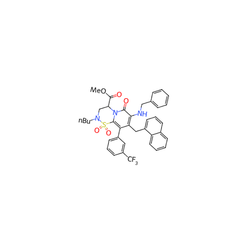 CCCCN1CC(C(=O)OC)n2c(c(-c3cccc(C(F)(F)F)c3)c(Cc3cccc4ccccc34)c(NCc3ccccc3)c2=O)S1(=O)=O